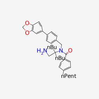 CCCCCc1ccc(C(=O)N(Cc2ccc(-c3ccc4c(c3)OCO4)cc2)C(CN)(CCCC)CCCC)cc1